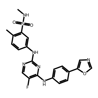 CNS(=O)(=O)c1cc(Nc2ncc(F)c(Nc3ccc(-c4cnco4)cc3)n2)ccc1C